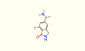 CC(c1cc(I)c2c(c1)CNC2=O)N(C)C